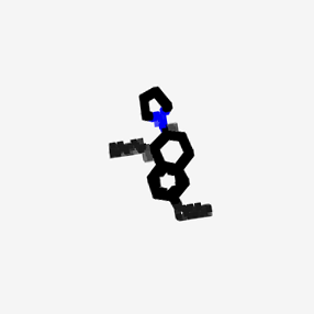 CN[C@H]1c2ccc(OC)cc2CC[C@@H]1N1CCCC1